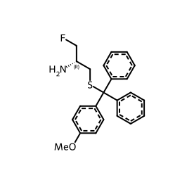 COc1ccc(C(SC[C@H](N)CF)(c2ccccc2)c2ccccc2)cc1